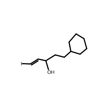 OC(/C=C/I)CCC1CCCCC1